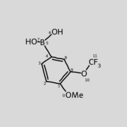 COc1ccc(B(O)O)cc1OC(F)(F)F